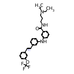 CCN(CC)CCCNC(=O)c1cccc(Nc2cccc(/C=C/c3cccc(OC(F)(F)F)c3)c2)c1